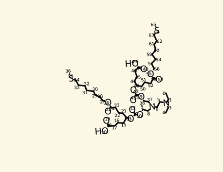 CCN(CC)CCN(CCOC(=O)OC(CCCC(=O)O)CCCC(=O)OCCCCCCCCSC)CCOC(=O)OC(CCCC(=O)O)CCCC(=O)OCCCCCCCCSC